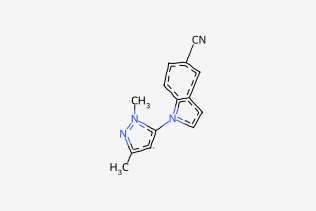 Cc1[c]c(-n2ccc3cc(C#N)ccc32)n(C)n1